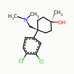 CN(C)C[C@]1(c2ccc(Cl)c(Cl)c2)CC[C@](C)(O)CC1